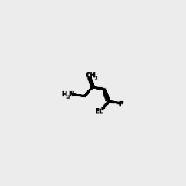 C=C(/C=C(/F)CC)CN